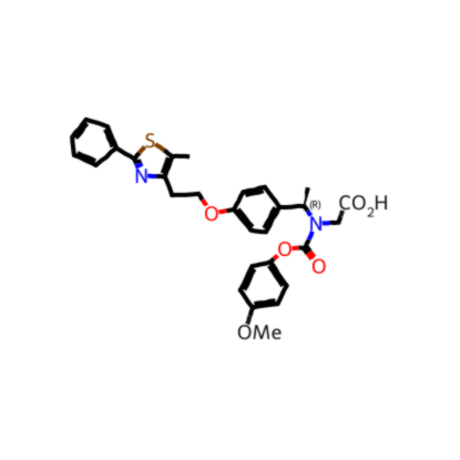 COc1ccc(OC(=O)N(CC(=O)O)[C@H](C)c2ccc(OCCc3nc(-c4ccccc4)sc3C)cc2)cc1